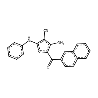 N#Cc1c(Nc2ccccc2)sc(C(=O)c2ccc3ccccc3c2)c1N